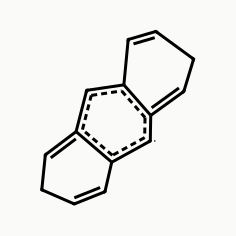 [c]1c2c(cc3c1=CCC=C3)=CCC=C2